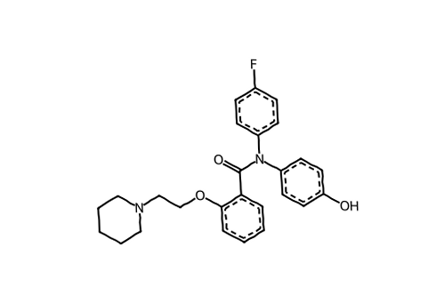 O=C(c1ccccc1OCCN1CCCCC1)N(c1ccc(O)cc1)c1ccc(F)cc1